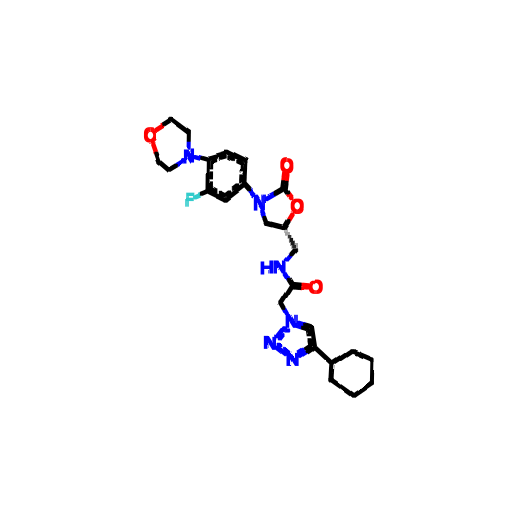 O=C(Cn1cc(C2CCCCC2)nn1)NC[C@@H]1CN(c2ccc(N3CCOCC3)c(F)c2)C(=O)O1